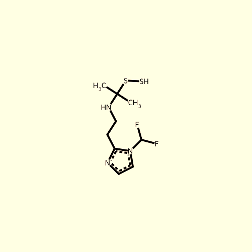 CC(C)(NCCc1nccn1C(F)F)SS